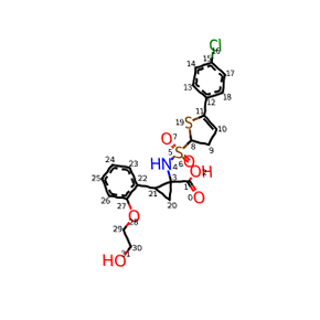 O=C(O)C1(NS(=O)(=O)C2CC=C(c3ccc(Cl)cc3)S2)CC1c1ccccc1OCCO